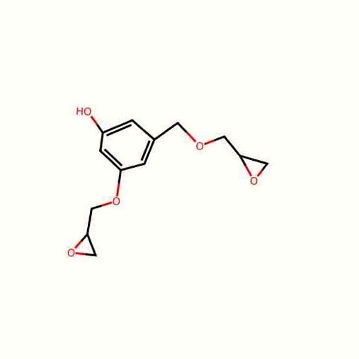 Oc1cc(COCC2CO2)cc(OCC2CO2)c1